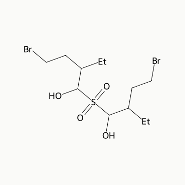 CCC(CCBr)C(O)S(=O)(=O)C(O)C(CC)CCBr